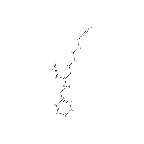 O=C=NCCCCCC(N=C=O)NCc1ccccc1